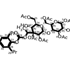 CC(=O)OC[C@H]1O[C@@H](OC(C)=O)[C@H](OC(C)=O)[C@@H](OC(C)=O)[C@@H]1O[C@H]1O[C@H](COC(C)=O)[C@@H](O)[C@@](OC(C)=O)(C(C)OC(=O)Oc2c(C(C)C)cccc2C(C)C)[C@H]1OC(C)=O